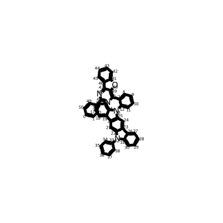 c1ccc(-c2nc(-c3ccccc3-n3c4ccccc4c4cc5c(cc43)c3ccccc3n5-c3ccccc3)c3oc4ccccc4c3n2)cc1